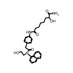 NC(=O)C(O)CCCCCC(=O)Nc1ccc(CC(=O)N(CCO)c2cccc3ccccc23)cc1